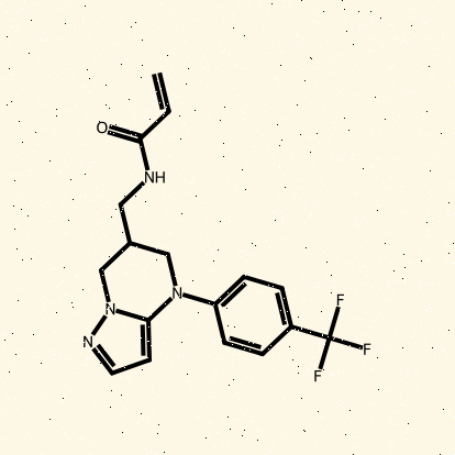 C=CC(=O)NCC1CN(c2ccc(C(F)(F)F)cc2)c2ccnn2C1